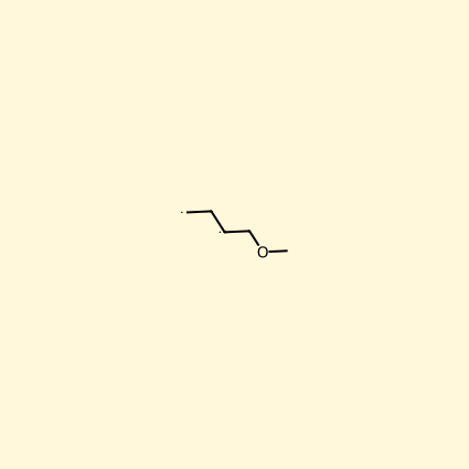 [CH2]C[CH]COC